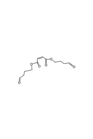 O=CCCCOC(=O)/C=C\C(=O)OCCCC=O